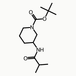 CC(C)C(=O)NC1CCCN(C(=O)OC(C)(C)C)C1